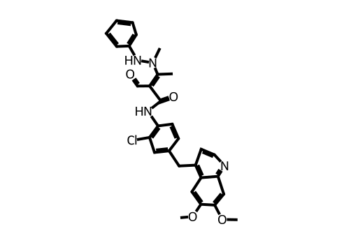 COc1cc2nccc(Cc3ccc(NC(=O)/C(C=O)=C(\C)N(C)Nc4ccccc4)c(Cl)c3)c2cc1OC